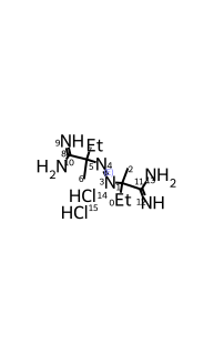 CCC(C)(/N=N/C(C)(CC)C(=N)N)C(=N)N.Cl.Cl